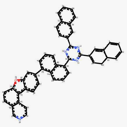 C1=CC2=CC(c3nc(-c4ccc5ccccc5c4)nc(-c4cccc5c(-c6ccc7c(c6)oc6ccc8cnccc8c67)cccc45)n3)=CCC2C=C1